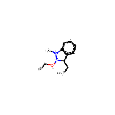 CCOC(=O)CC1c2ccccc2N(C)N1OCC#N